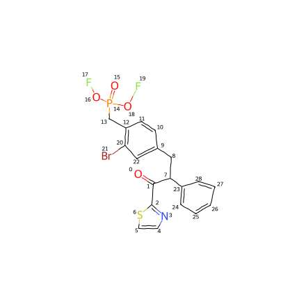 O=C(c1nccs1)C(Cc1ccc(CP(=O)(OF)OF)c(Br)c1)c1ccccc1